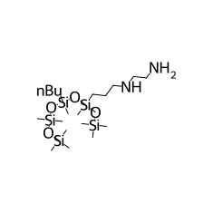 CCCC[Si](C)(O[Si](C)(C)O[Si](C)(C)C)O[Si](C)(CCCNCCN)O[Si](C)(C)C